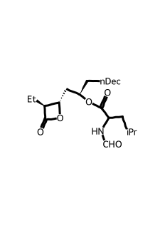 CCCCCCCCCCC[C@H](C[C@@H]1OC(=O)[C@H]1CC)OC(=O)C(CC(C)C)NC=O